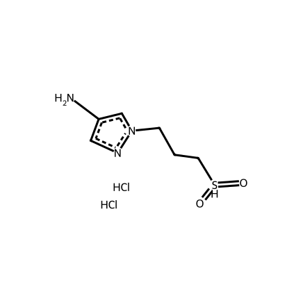 Cl.Cl.Nc1cnn(CCC[SH](=O)=O)c1